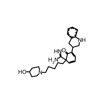 N=C(N)C1(CCCCCN2CCC(O)CC2)C=CC=C(C2CNc3ccccc3C2)C1=O